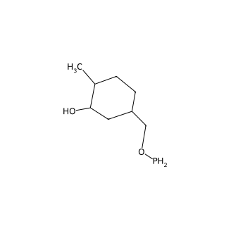 CC1CCC(COP)CC1O